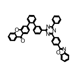 O=c1c2ccccc2oc2cc(-c3ccccc3-c3cccc(-c4nc(-c5ccccc5)nc(-c5ccc(-c6nc7ccccc7o6)cc5)n4)c3)ccc12